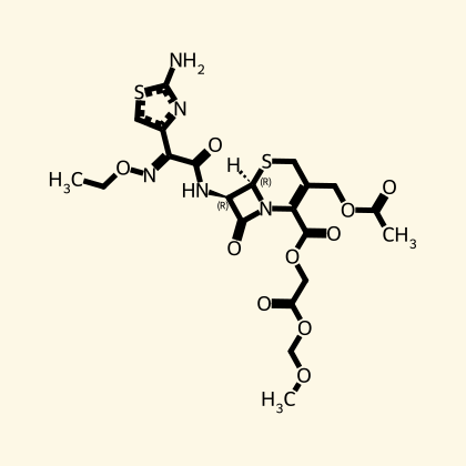 CCON=C(C(=O)N[C@@H]1C(=O)N2C(C(=O)OCC(=O)OCOC)=C(COC(C)=O)CS[C@H]12)c1csc(N)n1